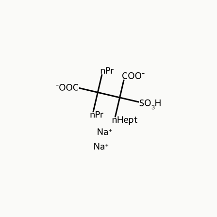 CCCCCCCC(C(=O)[O-])(C(CCC)(CCC)C(=O)[O-])S(=O)(=O)O.[Na+].[Na+]